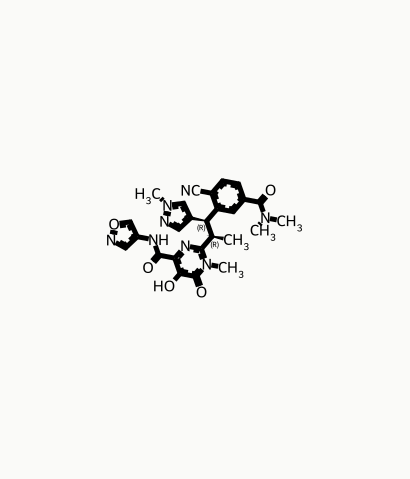 C[C@@H](c1nc(C(=O)Nc2cnoc2)c(O)c(=O)n1C)[C@@H](c1cnn(C)c1)c1cc(C(=O)N(C)C)ccc1C#N